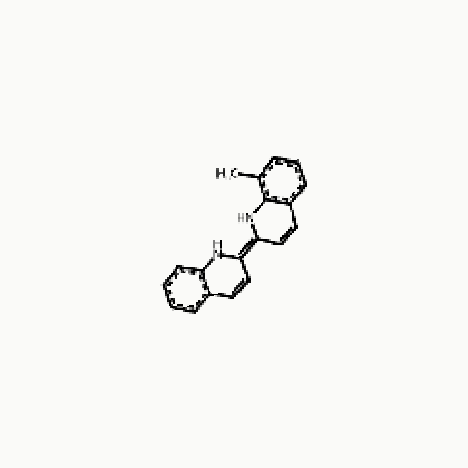 Cc1cccc2c1N/C(=C1/C=Cc3ccccc3N1)C=C2